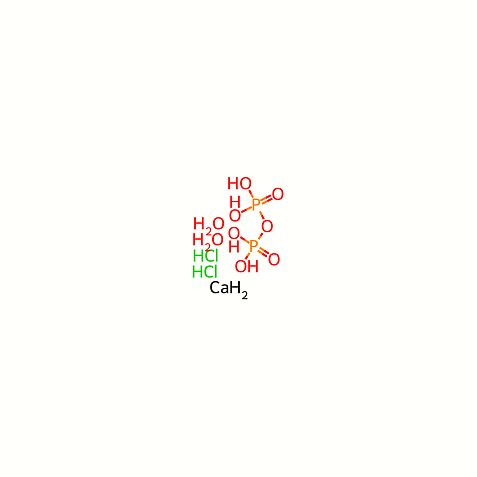 Cl.Cl.O.O.O=P(O)(O)OP(=O)(O)O.[CaH2]